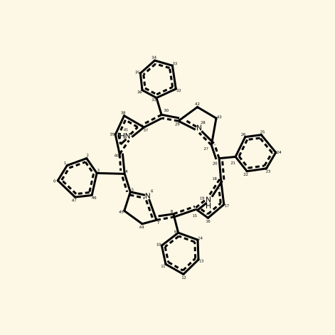 c1ccc(-c2c3nc(c(-c4ccccc4)c4ccc([nH]4)c(-c4ccccc4)c4nc(c(-c5ccccc5)c5ccc2[nH]5)CC4)CC3)cc1